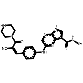 CC(C)NC(=O)c1c[nH]c2ncc(Nc3ccc(C=C(C#N)C(=O)N4CCNCC4)cc3)nc12